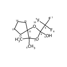 CC1(C)OC(O)(C(F)(F)F)OC12CCCC2